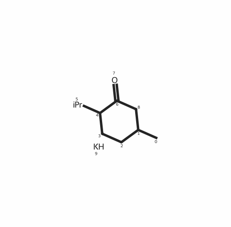 CC1CCC(C(C)C)C(=O)C1.[KH]